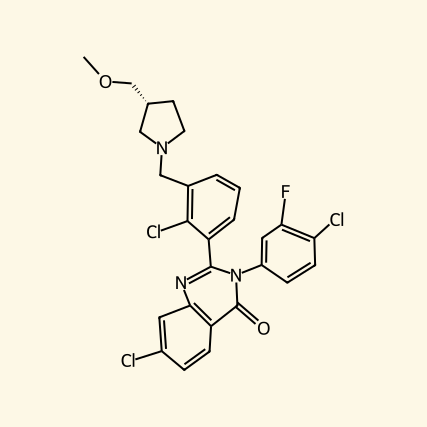 COC[C@@H]1CCN(Cc2cccc(-c3nc4cc(Cl)ccc4c(=O)n3-c3ccc(Cl)c(F)c3)c2Cl)C1